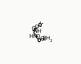 BC(C)(C)Oc1cccc(CC(=O)NCCC(=C)NC(=O)COc2ccc(C)c(C)c2)c1